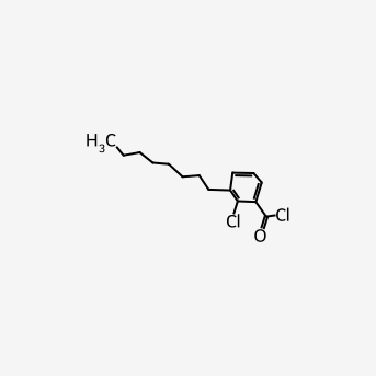 CCCCCCCCc1cccc(C(=O)Cl)c1Cl